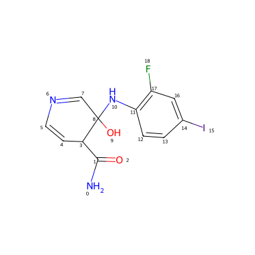 NC(=O)C1C=CN=CC1(O)Nc1ccc(I)cc1F